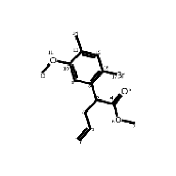 C=CCC(C(=O)OC)c1cc(OC)c(C)cc1Br